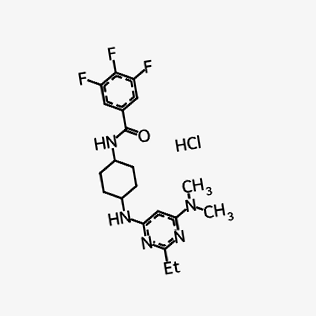 CCc1nc(NC2CCC(NC(=O)c3cc(F)c(F)c(F)c3)CC2)cc(N(C)C)n1.Cl